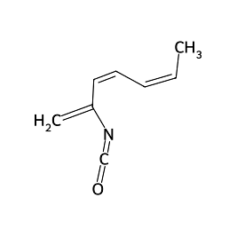 C=C(/C=C\C=C/C)N=C=O